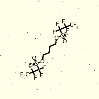 O=S(=O)(OCCCCOS(=O)(=O)C(F)(F)C(F)(F)C(F)(F)F)C(F)(F)C(F)(F)C(F)(F)F